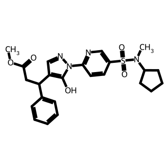 COC(=O)CC(c1ccccc1)c1cnn(-c2ccc(S(=O)(=O)N(C)C3CCCC3)cn2)c1O